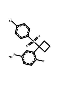 O=S(=O)(c1ccc(Cl)cc1)C1(c2cc(F)ccc2F)C[CH]C1.[NaH]